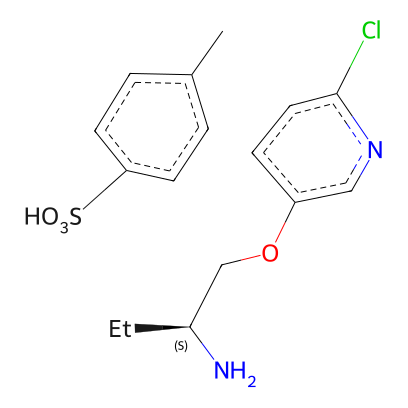 CC[C@H](N)COc1ccc(Cl)nc1.Cc1ccc(S(=O)(=O)O)cc1